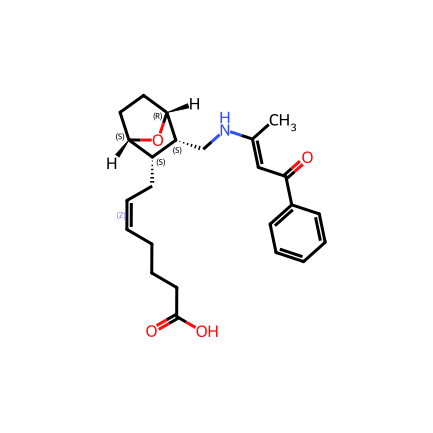 CC(=CC(=O)c1ccccc1)NC[C@@H]1[C@H](C/C=C\CCCC(=O)O)[C@@H]2CC[C@H]1O2